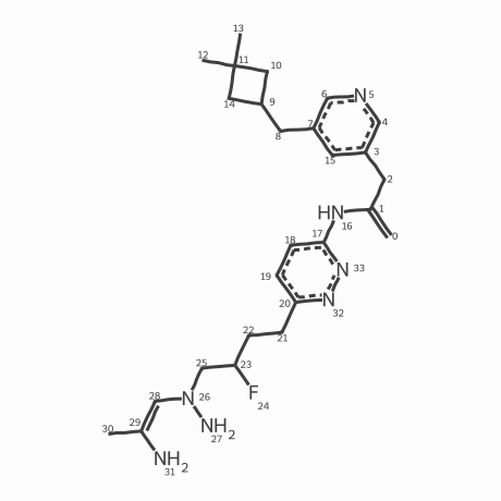 C=C(Cc1cncc(CC2CC(C)(C)C2)c1)Nc1ccc(CCC(F)CN(N)/C=C(/C)N)nn1